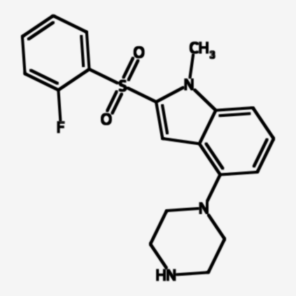 Cn1c(S(=O)(=O)c2ccccc2F)cc2c(N3CCNCC3)cccc21